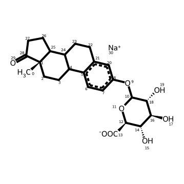 C[C@]12CCC3c4ccc(OC5O[C@H](C(=O)[O-])[C@@H](O)[C@H](O)[C@H]5O)cc4CCC3C1CCC2=O.[Na+]